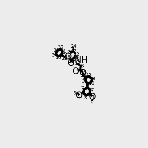 COc1cc(OC)cc(-c2cccc(COC(=O)CCN[C@@H](CC(C)C)C(=O)OCc3ccccc3)c2)c1